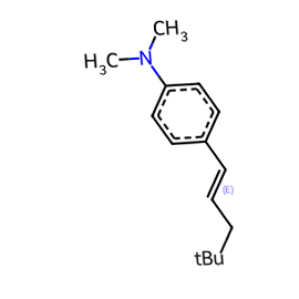 CN(C)c1ccc(/C=C/CC(C)(C)C)cc1